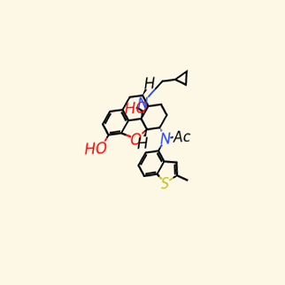 CC(=O)N(c1cccc2sc(C)cc12)[C@H]1CC[C@@]2(O)[C@H]3Cc4ccc(O)c5c4[C@@]2(CCN3CC2CC2)[C@H]1O5